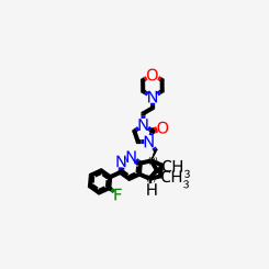 CC1(C)[C@@H]2CC[C@@]1(CN1CCN(CCN3CCOCC3)C1=O)c1nnc(-c3ccccc3F)cc12